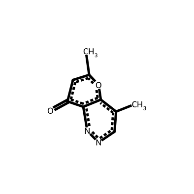 Cc1cc(=O)c2nncc(C)c2o1